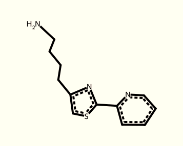 NCCCCc1csc(-c2ccccn2)n1